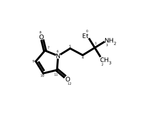 CCC(C)(N)CCN1C(=O)C=CC1=O